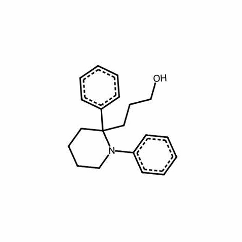 OCCCC1(c2ccccc2)CCCCN1c1ccccc1